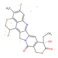 CC[C@@]1(O)C(=O)OCc2c1cc1n(c2=O)Cc2c-1nc1cc(F)c(C)c3c1c2C(F)CS3